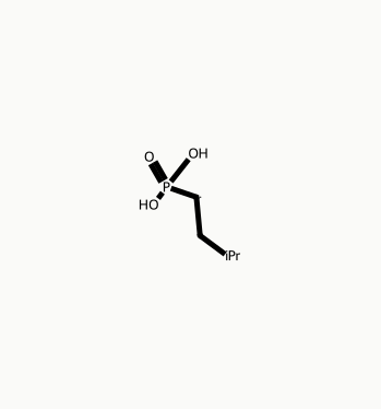 CC(C)C[CH]P(=O)(O)O